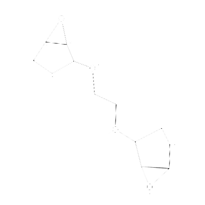 C(COC1CCC2OC12)OC1CCC2OC12